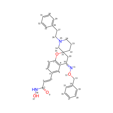 O=C(/C=C/c1ccc2c(c1)/C(=N\OCc1ccccc1)CC1(CCCN(CCc3ccccc3)C1)O2)NO